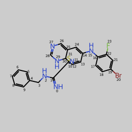 N=C(NCc1ccccc1)C1=NC2=CC(Nc3ccc(Br)cc3F)=CC3=CN=CNC32S1